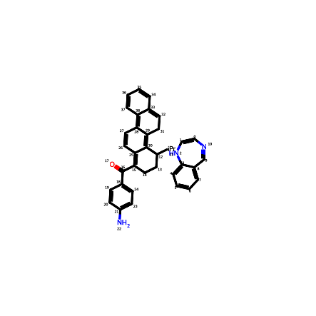 C1=CNc2ccccc2C=N1.CC(C)C1CCC(C(=O)c2ccc(N)cc2)=c2ccc3c(c21)CC=c1ccccc1=3